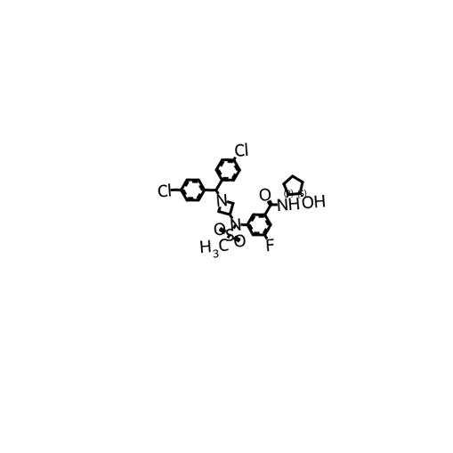 CS(=O)(=O)N(c1cc(F)cc(C(=O)N[C@@H]2CCC[C@@H]2O)c1)C1CN(C(c2ccc(Cl)cc2)c2ccc(Cl)cc2)C1